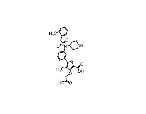 Cc1ccccc1CS(=O)(=O)N(c1cccc(-c2sc(C(=O)O)c(OCC(=O)O)c2C)c1)C1CCNCC1